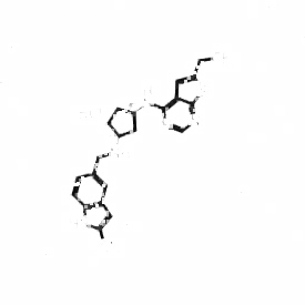 Cl.N#Cc1cc2cc(CN[C@@H]3CC[C@@H](Nc4ncnc5sc(CC(F)(F)F)cc45)C3)ccc2[nH]1